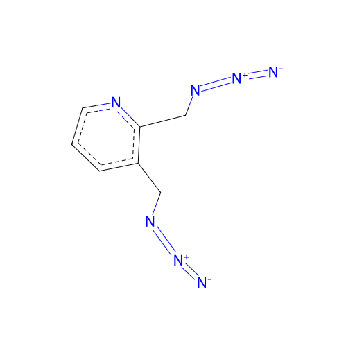 [N-]=[N+]=NCc1cccnc1CN=[N+]=[N-]